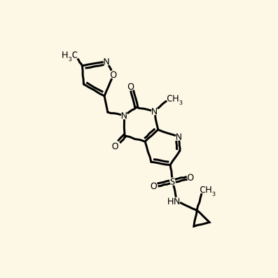 Cc1cc(Cn2c(=O)c3cc(S(=O)(=O)NC4(C)CC4)cnc3n(C)c2=O)on1